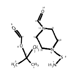 CC(C)(C)OC=O.NSN1CCN(C=O)CC1